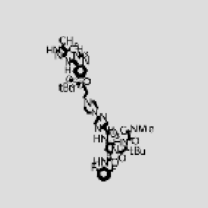 CN[C@@H](C)C(=O)N[C@H](C(=O)N1C[C@@H](NC(=O)c2cnc(N3CCN(CCCOc4cc5ncnc(Nc6n[nH]c(C)c6C)c5cc4S(=O)(=O)C(C)(C)C)CC3)cn2)C[C@H]1C(=O)Nc1c(F)cccc1F)C(C)(C)C